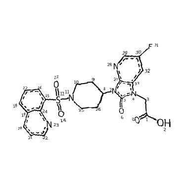 O=C(O)Cn1c(=O)n(C2CCN(S(=O)(=O)c3cccc4cccnc34)CC2)c2ncc(F)cc21